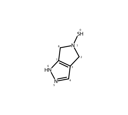 SN1Cc2cn[nH]c2C1